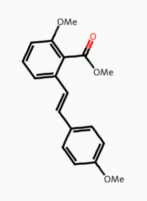 COC(=O)c1c(/C=C/c2ccc(OC)cc2)cccc1OC